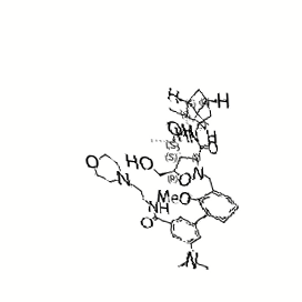 COc1c(CN2O[C@@H](CO)[C@H]([C@H](C)O)[C@H]2C(=O)N[C@H]2C[C@H]3C[C@@H]([C@@H]2C)C3(C)C)cccc1-c1cc(C(=O)NCCN2CCOCC2)cc(N(C)C)c1